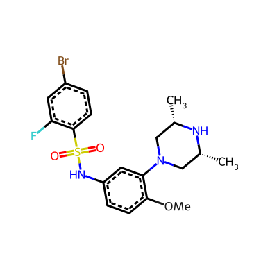 COc1ccc(NS(=O)(=O)c2ccc(Br)cc2F)cc1N1C[C@@H](C)N[C@@H](C)C1